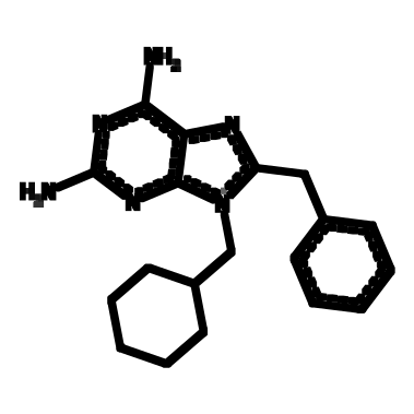 Nc1nc(N)c2nc(Cc3ccccc3)n(CC3CCCCC3)c2n1